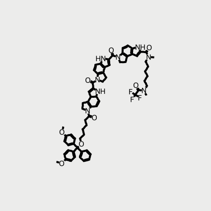 COc1ccc(C(OCCCCCC(=O)N2CCC3=C2C=CC2NC(C(=O)N4CCc5c4ccc4[nH]c(C(=O)N6CCc7c6ccc6[nH]c(C(=O)N(C)CCCCCCN(C)C(=O)C(F)(F)F)cc76)cc54)=CC32)(c2ccccc2)c2ccc(OC)cc2)cc1